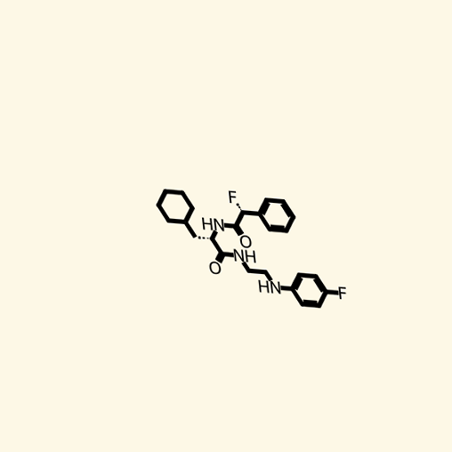 O=C(NCCNc1ccc(F)cc1)[C@H](CC1CCCCC1)NC(=O)[C@H](F)c1ccccc1